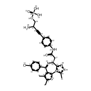 Cc1sc2c(c1C)C(c1ccc(Cl)cc1)=N[C@@H](CC(=O)Nc1ccc(C#CC(N)COP(=O)(O)O)cc1)c1nnc(C)n1-2